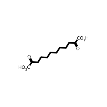 O=C(O)C(=O)C[CH]CCCC[CH]CC(=O)C(=O)O